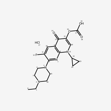 CCN1CCN(c2nc3c(cc2F)c(=O)c(OC(=O)O)cn3C2CC2)CC1.Cl